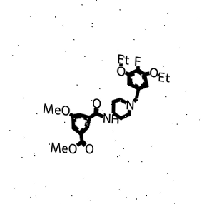 CCOc1cc(CN2CCC(NC(=O)c3cc(OC)cc(C(=O)OC)c3)CC2)cc(OCC)c1F